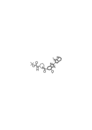 CCn1c(-c2nc3cc(C(=O)N4CCCC(NC(=O)OC(C)(C)C)C4)cc(OC)c3n2C)cc2cccnc21